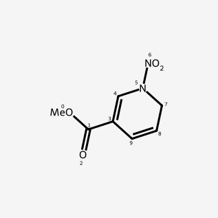 COC(=O)C1=CN([N+](=O)[O-])CC=C1